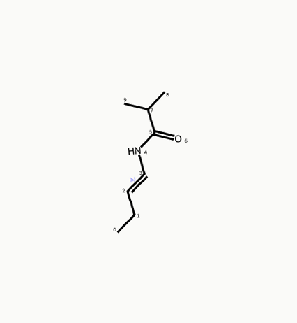 CC/C=C/NC(=O)C(C)C